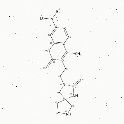 CCN(CC)c1ccc2c(C)c(CCN3CC4(CCNC4)NC3=O)c(=O)oc2c1